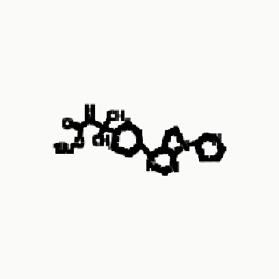 CC(C)(C)OC(=O)NC(C)(C)c1ccc(-c2ncnc3c2ccn3-c2cccnc2)cc1